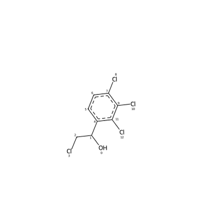 OC(CCl)c1ccc(Cl)c(Cl)c1Cl